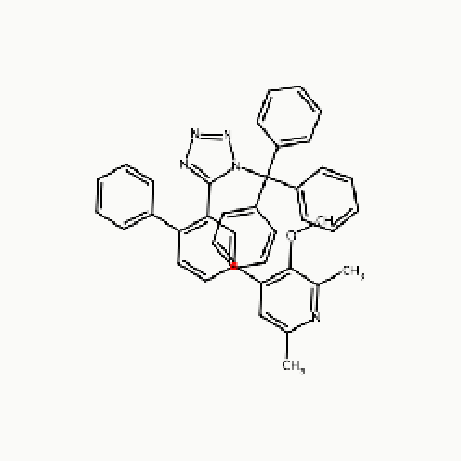 COc1c(-c2ccc(-c3ccccc3)c(-c3nnnn3C(c3ccccc3)(c3ccccc3)c3ccccc3)c2)cc(C)nc1C